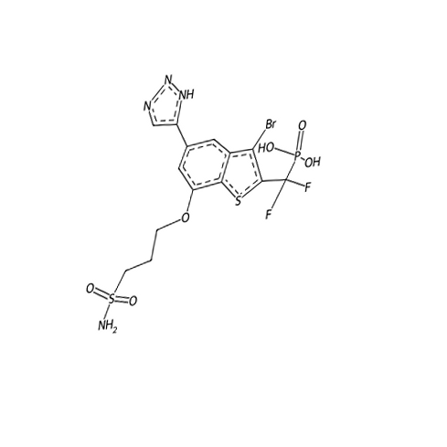 NS(=O)(=O)CCCOc1cc(-c2cnn[nH]2)cc2c(Br)c(C(F)(F)P(=O)(O)O)sc12